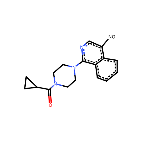 O=Nc1cnc(N2CCN(C(=O)C3CC3)CC2)c2ccccc12